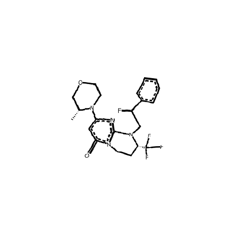 C[C@@H]1COCCN1c1cc(=O)n2c(n1)N(CC(F)c1ccccc1)[C@H](C(F)(F)F)CC2